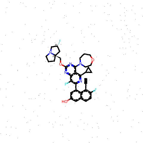 C#Cc1c(F)ccc2cc(O)cc(-c3nc(C4CC4)c4c(N5CCCOCC5)nc(OC[C@@]56CCCN5C[C@H](F)C6)nc4c3F)c12